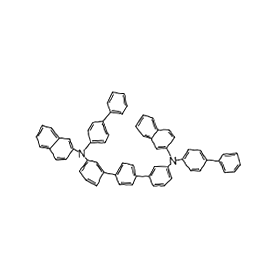 c1ccc(-c2ccc(N(c3cccc(-c4ccc(-c5cccc(N(c6ccc(-c7ccccc7)cc6)c6ccc7ccccc7c6)c5)cc4)c3)c3ccc4ccccc4c3)cc2)cc1